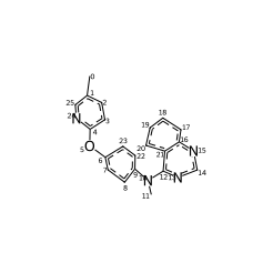 Cc1ccc(Oc2ccc(N(C)c3ncnc4ccccc34)cc2)nc1